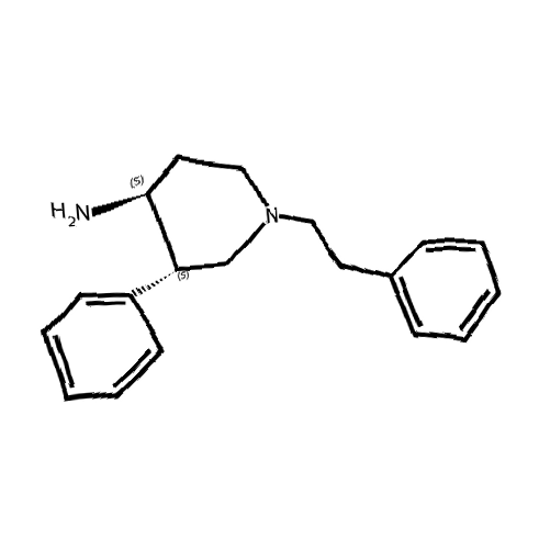 N[C@H]1CCN(CCc2ccccc2)C[C@@H]1c1ccccc1